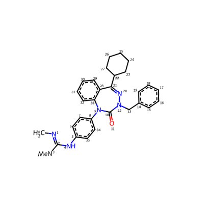 CN=C(NC)Nc1ccc(N2C(=O)N(Cc3ccccc3)N=C(C3CCCCC3)c3ccccc32)cc1